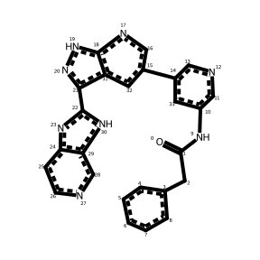 O=C(Cc1ccccc1)Nc1cncc(-c2cnc3[nH]nc(-c4nc5ccncc5[nH]4)c3c2)c1